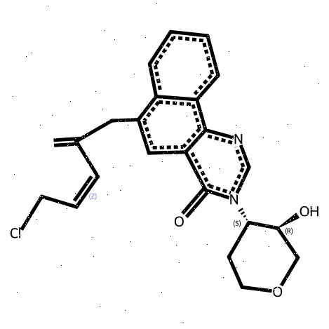 C=C(/C=C\CCl)Cc1cc2c(=O)n([C@H]3CCOC[C@@H]3O)cnc2c2ccccc12